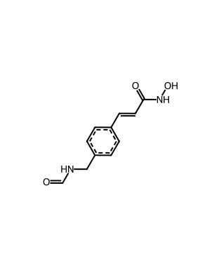 O=CNCc1ccc(/C=C/C(=O)NO)cc1